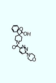 O=C(c1ccc(N2CCOCC2)nn1)N1CCC(C(=O)O)(c2ccccc2)CC1